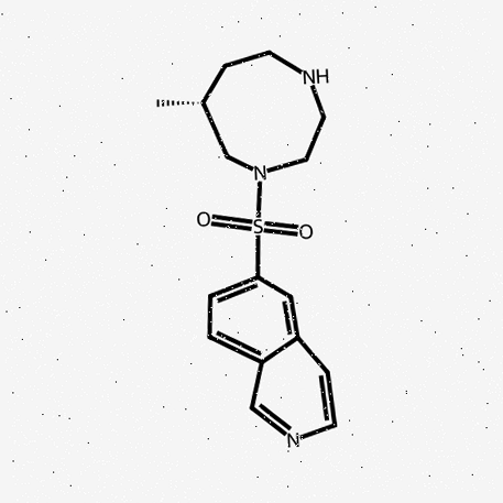 C[C@@H]1CCNCCN(S(=O)(=O)c2ccc3cnccc3c2)C1